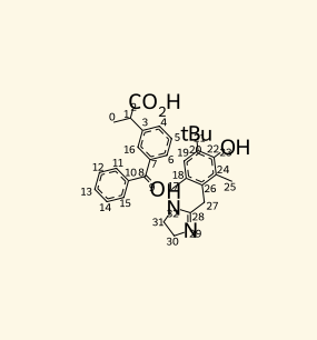 CC(C(=O)O)c1cccc(C(=O)c2ccccc2)c1.Cc1cc(C(C)(C)C)c(O)c(C)c1CC1=NCCN1